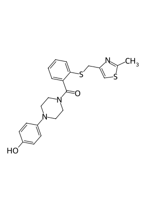 Cc1nc(CSc2ccccc2C(=O)N2CCN(c3ccc(O)cc3)CC2)cs1